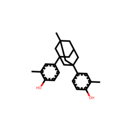 Cc1cc(C23CC4CC(C)(C2)CC(c2ccc(O)c(C)c2)(C4)C3)ccc1O